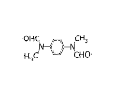 CN([C]=O)c1ccc(N(C)[C]=O)cc1